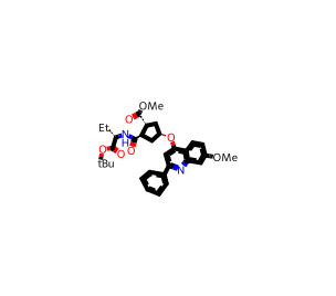 CC[C@H](NC(=O)[C@@H]1C[C@@H](Oc2cc(-c3ccccc3)nc3cc(OC)ccc23)C[C@H]1C(=O)OC)C(=O)OC(C)(C)C